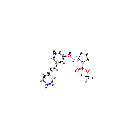 CC(C)(C)OC(=O)N1CCC[C@H]1COc1cncc(C=Cc2ccncc2)c1